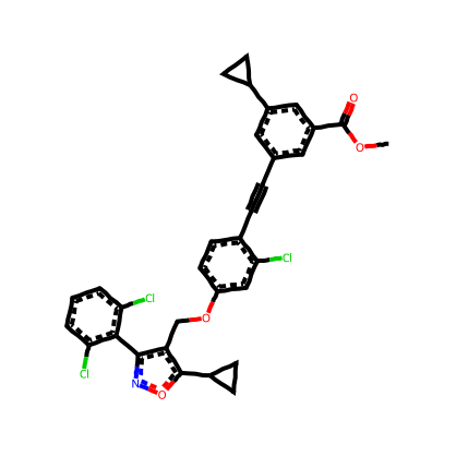 COC(=O)c1cc(C#Cc2ccc(OCc3c(-c4c(Cl)cccc4Cl)noc3C3CC3)cc2Cl)cc(C2CC2)c1